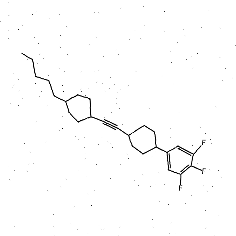 CCCCCC1CCC(C#CC2CCC(c3cc(F)c(F)c(F)c3)CC2)CC1